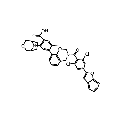 O=C(O)c1cc(F)c(-c2cccc3c2OCN(C(=O)c2c(Cl)cc(-c4cc5ccccc5o4)cc2Cl)C3)cc1N1C2CCC1COC2